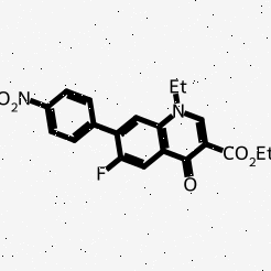 CCOC(=O)c1cn(CC)c2cc(-c3ccc([N+](=O)[O-])cc3)c(F)cc2c1=O